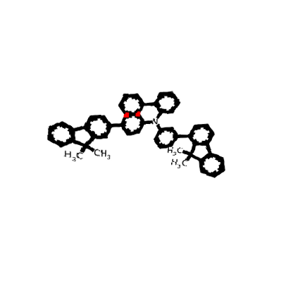 CC1(C)c2ccccc2-c2ccc(-c3ccc(N(c4cccc(-c5cccc6c5C(C)(C)c5ccccc5-6)c4)c4ccccc4-c4ccccc4)cc3)cc21